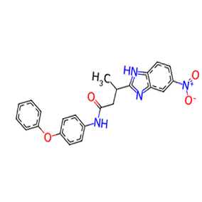 CC(CC(=O)Nc1ccc(Oc2ccccc2)cc1)c1nc2cc([N+](=O)[O-])ccc2[nH]1